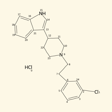 Cl.Clc1cccc(CCN2CCC(c3c[nH]c4ccccc34)CC2)c1